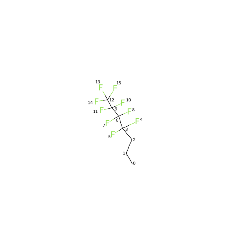 C[CH]CC(F)(F)C(F)(F)C(F)(F)C(F)(F)F